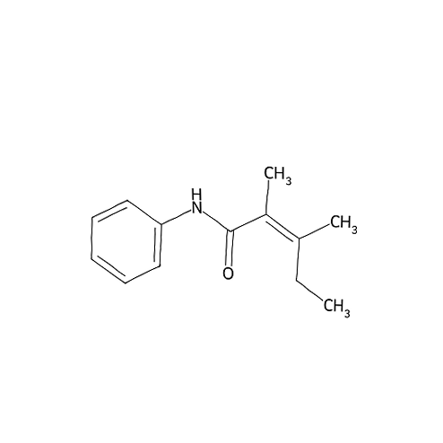 CC/C(C)=C(/C)C(=O)Nc1ccccc1